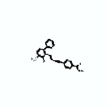 COC(=O)c1ccc(C#C/C=C/c2c(-c3ccccc3)ccc(C)c2F)cc1